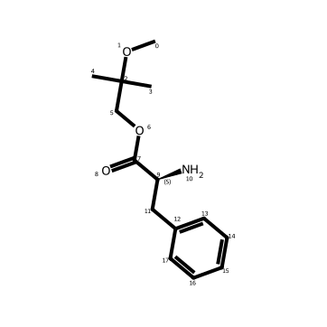 COC(C)(C)COC(=O)[C@@H](N)Cc1ccccc1